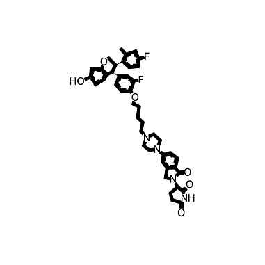 Cc1cc(F)ccc1[C@H]1COc2cc(O)ccc2[C@H]1c1ccc(OCCCCCN2CCN(c3ccc4c(c3)CN(C3CCC(=O)NC3=O)C4=O)CC2)c(F)c1